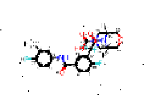 Cc1cc(NC(=O)c2ccc(F)c(C(F)(F)C(=O)N3[C@@H]4COC[C@H]3CN(C(=O)O)C4)c2)ccc1F